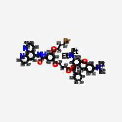 CCN(CC)c1ccc2c(-c3ccccc3C(=O)OCCCOc3cc(OCCCBr)cc(C(=O)Nc4cc5cccnc5c5ncccc45)c3)c3ccc(=[N+](CC)CC)cc-3oc2c1